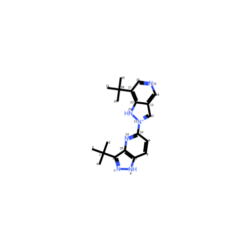 CC(C)(C)c1n[nH]c2ccc(-[n+]3cc4cncc(C(C)(C)C)c4[nH]3)nc12